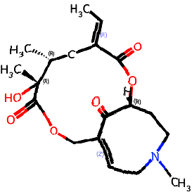 C/C=C1\C[C@@H](C)[C@@](C)(O)C(=O)OC/C2=C/CN(C)CC[C@@H](OC1=O)C2=O